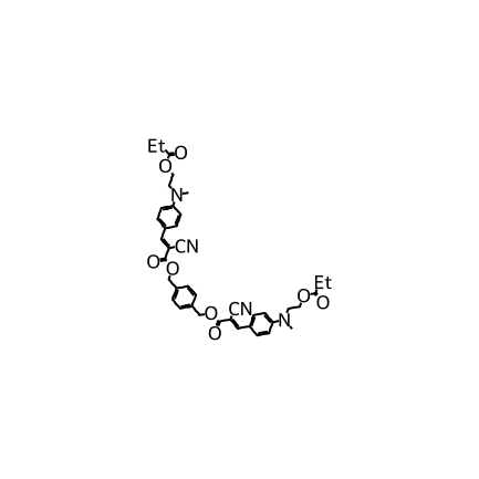 CCC(=O)OCCN(C)c1ccc(/C=C(\C#N)C(=O)OCc2ccc(COC(=O)/C(C#N)=C/c3ccc(N(C)CCOC(=O)CC)cc3)cc2)cc1